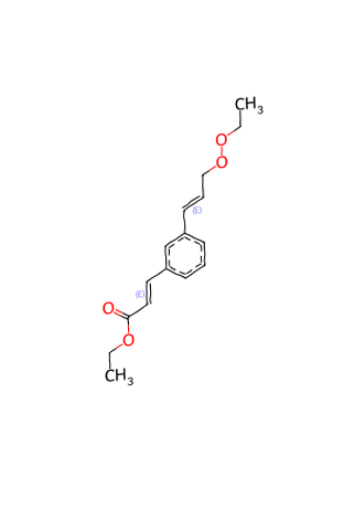 CCOOC/C=C/c1cccc(/C=C/C(=O)OCC)c1